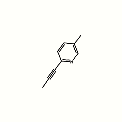 CC#Cc1ccc(C)cn1